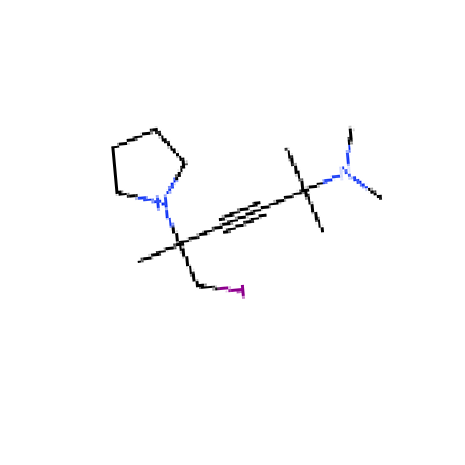 CN(C)C(C)(C)C#CC(C)(CI)N1CCCC1